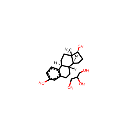 C[C@]12CC[C@@H]3c4ccc(O)cc4CC[C@H]3[C@@H]1CC[C@@H]2O.OCC(O)CO